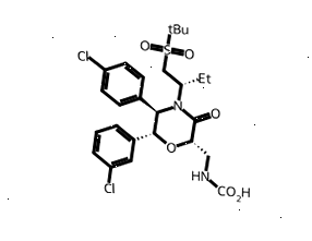 CC[C@@H](CS(=O)(=O)C(C)(C)C)N1C(=O)[C@H](CNC(=O)O)O[C@H](c2cccc(Cl)c2)[C@H]1c1ccc(Cl)cc1